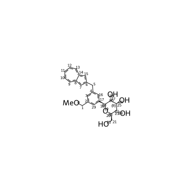 COCc1cc(Cc2cc3cccccc-3c2)cc([C@@H]2O[C@H](CO)[C@@H](O)[C@H](O)[C@H]2O)c1